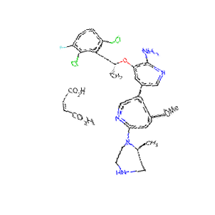 COc1cc(N2CCNC[C@@H]2C)ncc1-c1cnc(N)c(O[C@H](C)c2c(Cl)ccc(F)c2Cl)c1.O=C(O)/C=C\C(=O)O